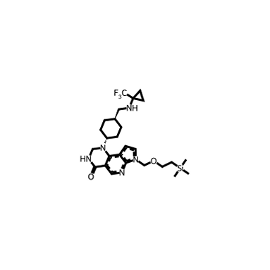 C[Si](C)(C)CCOCn1ccc2c3c(cnc21)C(=O)NCN3[C@H]1CC[C@H](CNC2(C(F)(F)F)CC2)CC1